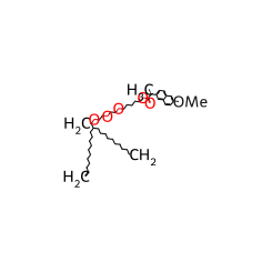 C=CCCCCCCCCCC(CCCCCCCCCC=C)C(=C)OCCOCCOCCCCCOC(=O)[C@@H](C)c1ccc2cc(OC)ccc2c1